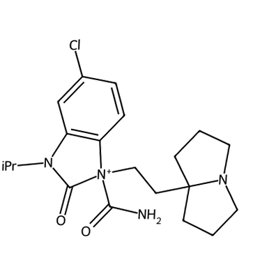 CC(C)N1C(=O)[N+](CCC23CCCN2CCC3)(C(N)=O)c2ccc(Cl)cc21